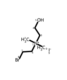 C[N+](C)(CCO)CCBr.[I-]